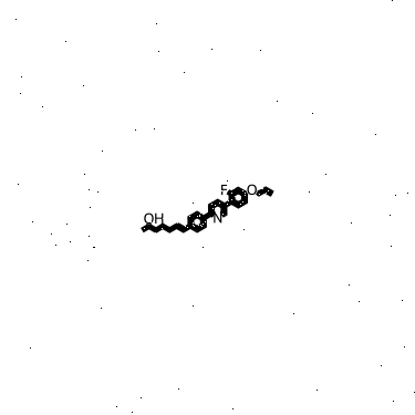 C=CCOc1ccc(-c2ccc(-c3ccc(C=CCCCC(C)O)cc3)nc2)c(F)c1